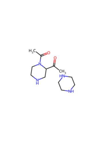 C1CNCCN1.CC(=O)C1CNCCN1C(C)=O